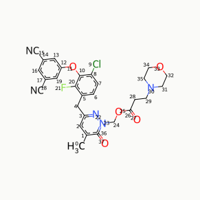 Cc1cc(Cc2ccc(Cl)c(Oc3cc(C#N)cc(C#N)c3)c2F)nn(COC(=O)CCN2CCOCC2)c1=O